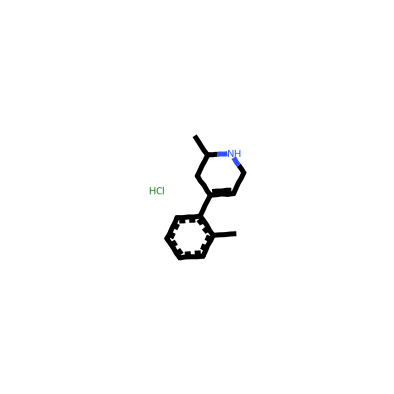 Cc1ccccc1C1=CCNC(C)C1.Cl